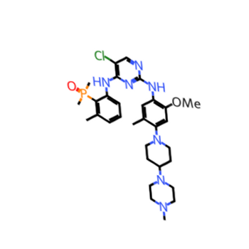 COc1cc(N2CCC(N3CCN(C)CC3)CC2)c(C)cc1Nc1ncc(Cl)c(Nc2cccc(C)c2P(C)(C)=O)n1